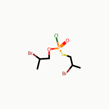 CC(Br)COP(=O)(Cl)SCC(C)Br